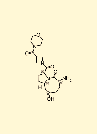 N[C@H]1CC[C@@H](O)C[C@H]2CC[C@@H](C(=O)N3CC(C(=O)N4CCOCC4)C3)N2C1=O